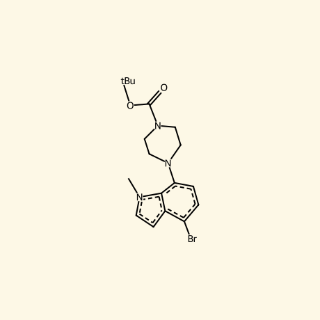 Cn1ccc2c(Br)ccc(N3CCN(C(=O)OC(C)(C)C)CC3)c21